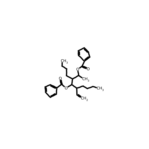 C=CC(CCCC)C(OC(=O)c1ccccc1)C(CCCC)C(C)OC(=O)c1ccccc1